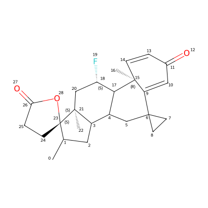 CC1CC2C3CC4(CC4)C4=CC(=O)C=C[C@]4(C)C3[C@@H](F)C[C@]2(C)[C@]12CCC(=O)O2